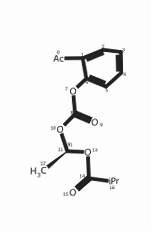 CC(=O)c1ccccc1OC(=O)O[C@H](C)OC(=O)C(C)C